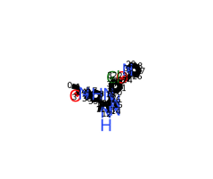 C=CC(=O)N1CC2(CCC(c3c[nH]c4ncnc(Nc5ccc(OCc6ccccn6)c(Cl)c5)c34)C2)C1